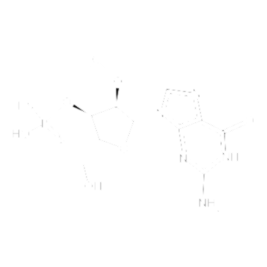 CO[C@@H]1[C@H](OP(O)(=S)S)[C@@H](CO)O[C@H]1n1cnc2c(=O)[nH]c(N)nc21